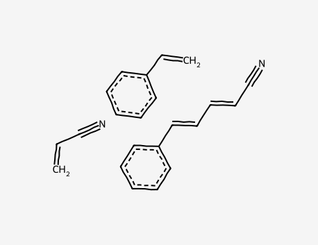 C=CC#N.C=Cc1ccccc1.N#CC=CC=Cc1ccccc1